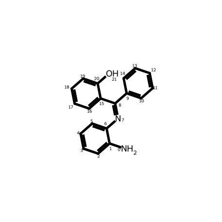 Nc1ccccc1/N=C(/c1ccccc1)c1ccccc1O